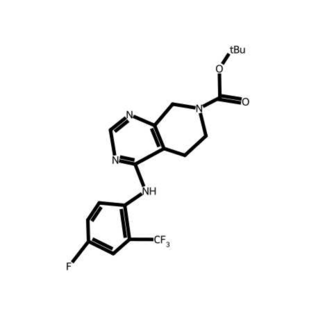 CC(C)(C)OC(=O)N1CCc2c(ncnc2Nc2ccc(F)cc2C(F)(F)F)C1